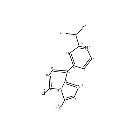 Cc1cnc2c(-c3ccnc(C(F)F)c3)ccc(Cl)n12